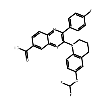 O=C(O)c1ccc2nc(-c3ccc(F)cc3)c(N3CCCc4cc(OC(F)F)ccc43)nc2c1